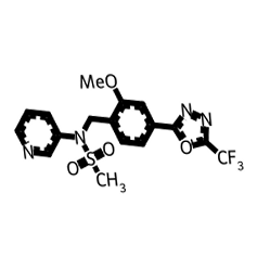 COc1cc(-c2nnc(C(F)(F)F)o2)ccc1CN(c1cccnc1)S(C)(=O)=O